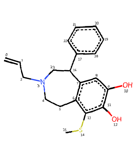 C=CCN1CCc2c(cc(O)c(O)c2SC)C(c2ccccc2)C1